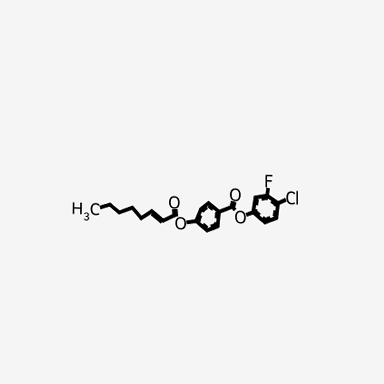 CCCCCC=CC(=O)Oc1ccc(C(=O)Oc2ccc(Cl)c(F)c2)cc1